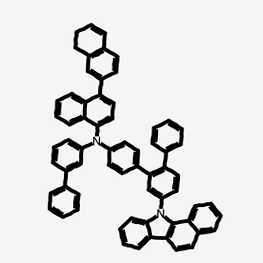 C1=Cc2ccc(-c3ccc(N(c4ccc(-c5cc(-n6c7ccccc7c7ccc8ccccc8c76)ccc5-c5ccccc5)cc4)c4cccc(-c5ccccc5)c4)c4ccccc34)cc2CC1